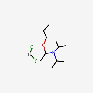 [CH2]C(OCCC)N(C(C)C)C(C)C.[Cl][Ti][Cl]